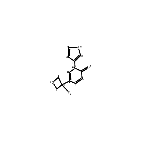 O=c1ccc(C2(F)COC2)cn1-c1ccsc1